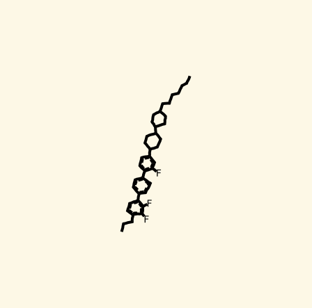 CCCCCCCC1CCC(C2CCC(c3ccc(-c4ccc(-c5ccc(CCC)c(F)c5F)cc4)c(F)c3)CC2)CC1